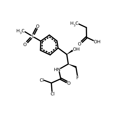 CCC(=O)O.CS(=O)(=O)c1ccc([C@@H](O)[C@@H](CF)NC(=O)C(Cl)Cl)cc1